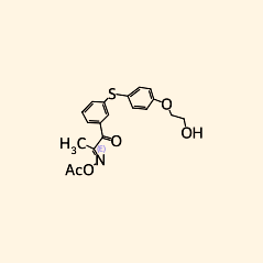 CC(=O)O/N=C(\C)C(=O)c1cccc(Sc2ccc(OCCO)cc2)c1